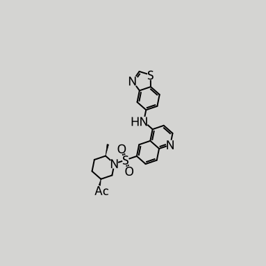 CC(=O)[C@H]1CC[C@@H](C)N(S(=O)(=O)c2ccc3nccc(Nc4ccc5scnc5c4)c3c2)C1